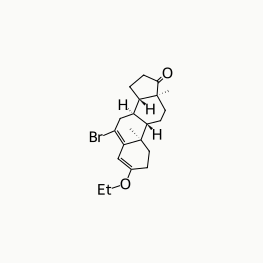 CCOC1=CC2=C(Br)C[C@@H]3[C@H](CC[C@]4(C)C(=O)CC[C@@H]34)[C@@]2(C)CC1